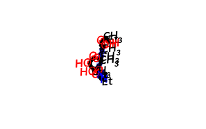 CCC(O)C(C)C1OC1CC(C)(O)/C=C/C=C(\C)C1OC(=O)CC(O)CCC(C)(O)C(OC(=O)N2CCCN(CC)CC2)/C=C/C1C